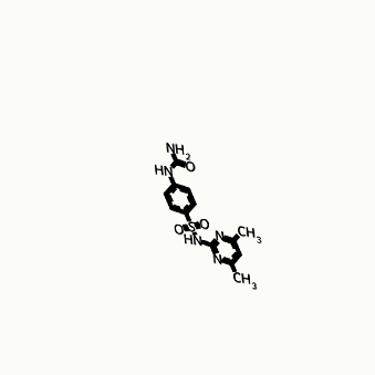 Cc1cc(C)nc(NS(=O)(=O)c2ccc(NC(N)=O)cc2)n1